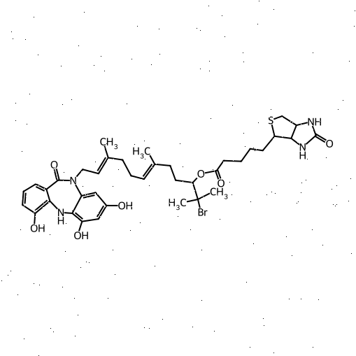 C/C(=C\CN1C(=O)c2cccc(O)c2Nc2c(O)cc(O)cc21)CC/C=C(\C)CCC(OC(=O)CCCCC1SCC2NC(=O)NC21)C(C)(C)Br